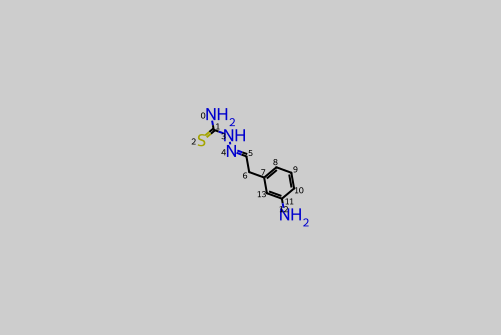 NC(=S)NN=CCc1cccc(N)c1